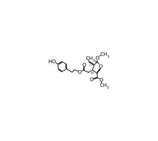 C/C=C1\[C@H](OC)OC=C(C(=O)OC)[C@H]1CC(=O)OCCc1ccc(O)cc1